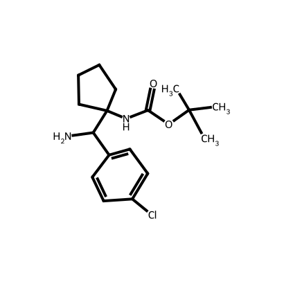 CC(C)(C)OC(=O)NC1(C(N)c2ccc(Cl)cc2)CCCC1